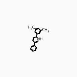 Cc1cc(C)cc(C2C=CC(c3ccccc3)=CN2)c1